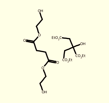 CCOC(=O)CC(O)(CC(=O)OCC)C(=O)OCC.O=C(CCC(=O)OCCO)OCCO